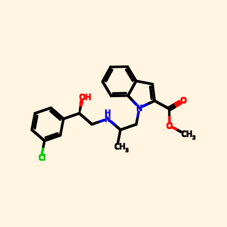 COC(=O)c1cc2ccccc2n1CC(C)NC[C@H](O)c1cccc(Cl)c1